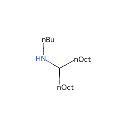 CCCCCCCCC(CCCCCCCC)NCCCC